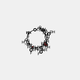 C[C@@H]1NC(=O)CCCC(=O)NCc2ccc(cc2)C[C@@H](C(N)=O)NC(=O)[C@]2(C)CCCN2C(=O)[C@H](Cc2ccc(O)cc2)NC(=O)[C@H](Cc2cnc[nH]2)NC(=O)[C@H](CC(=O)O)NC(=O)[C@H](Cc2c[nH]c3ccc(F)cc23)NC(=O)[C@H](Cc2c[nH]c3ccc(F)cc23)NC(=O)CNC1=O